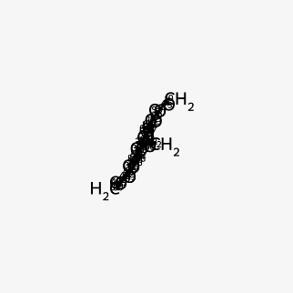 C=CC(=O)CCCOC(=O)CCC(=O)Oc1ccc2cc(C(=O)Oc3ccc(OC(=O)c4ccc5cc(OC(=O)CCC(=O)CCCOC(=O)C=C)ccc5c4)cc3NC(=O)C=C)ccc2c1